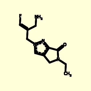 CCN1Cc2cn(C/C(=C/F)CN)nc2C1=O